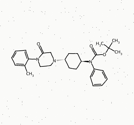 Cc1ccccc1N1CCN([C@H]2CC[C@H](N(C(=O)OC(C)(C)C)c3ccccc3)CC2)CC1=O